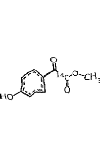 CO[14C](=O)C(=O)c1ccc(O)cc1